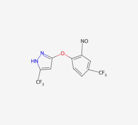 O=Nc1cc(C(F)(F)F)ccc1Oc1cc(C(F)(F)F)[nH]n1